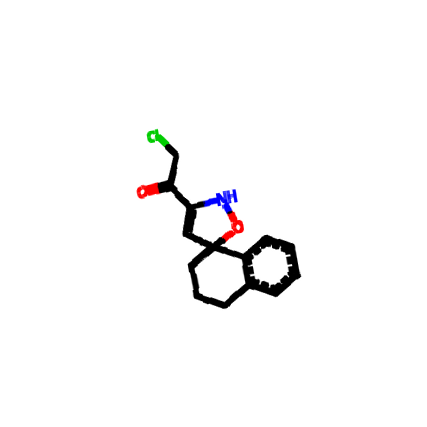 O=C(CCl)C1=CC2(CCCc3ccccc32)ON1